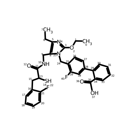 CCOc1nc(CC)c(CNC(=O)C(S)Cc2ccccc2F)n1Cc1ccc(-c2ccccc2C(=O)O)cc1F